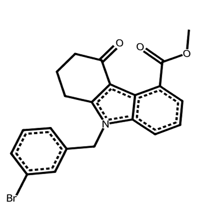 COC(=O)c1cccc2c1c1c(n2Cc2cccc(Br)c2)CCCC1=O